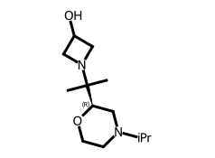 CC(C)N1CCO[C@@H](C(C)(C)N2CC(O)C2)C1